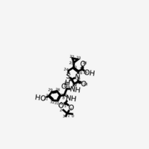 CC(C)(C)OC(=O)N[C@@H](C(=O)N[C@@H]1C(=O)N2C(C(=O)O)=C(C3CC3)CS[C@H]12)c1ccc(O)cc1